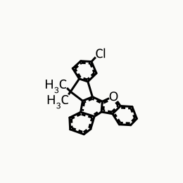 CC1(C)c2ccc(Cl)cc2-c2c1c1ccccc1c1c2oc2ccccc21